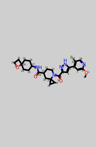 COc1cc(-c2cc(C(=O)N3CCC(C(=O)NC4CCC5(CCO5)CC4)CC34CC4)n[nH]2)c(F)cn1